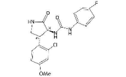 COc1ccc([C@@H]2CNC(=O)[C@H]2NC(=O)Nc2ccc(F)cc2)c(Cl)c1